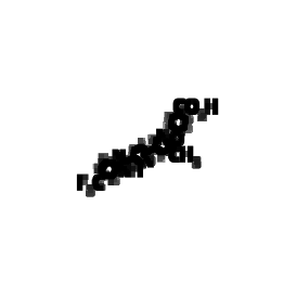 Cc1cc(-c2ccc(-c3nc4ccc(C(F)(F)F)cc4[nH]3)cn2)cnc1OC1CCC(C(=O)O)CC1